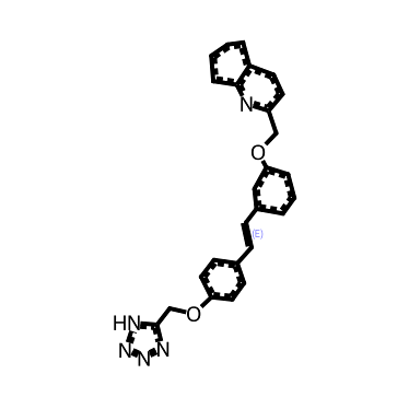 C(=C\c1cccc(OCc2ccc3ccccc3n2)c1)/c1ccc(OCc2nnn[nH]2)cc1